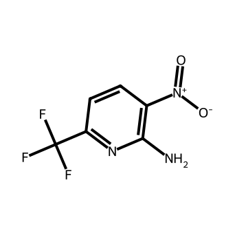 Nc1nc(C(F)(F)F)ccc1[N+](=O)[O-]